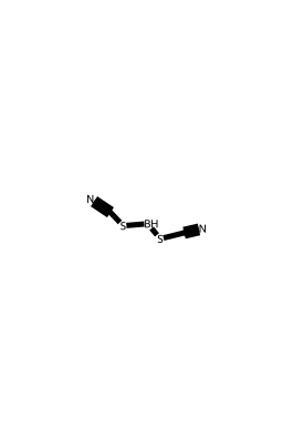 N#CSBSC#N